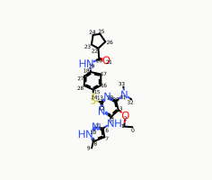 CCOc1c(Nc2cc(C)[nH]n2)nc(Sc2ccc(NC(=O)C3CCCC3)cc2)nc1N(C)C